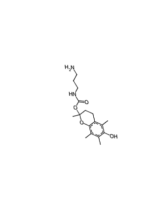 Cc1c(C)c2c(c(C)c1O)CCC(C)(OC(=O)NCCCN)O2